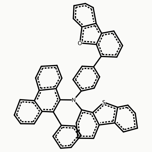 c1ccc(-c2c(N(c3ccc(-c4cccc5c4oc4ccccc45)cc3)c3cccc4c3sc3ccccc34)c3ccccc3c3ccccc23)cc1